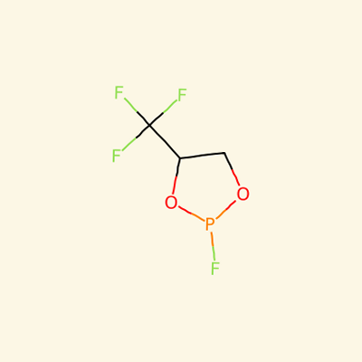 FP1OCC(C(F)(F)F)O1